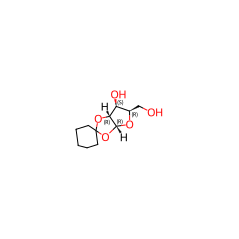 OC[C@H]1O[C@@H]2OC3(CCCCC3)O[C@@H]2[C@H]1O